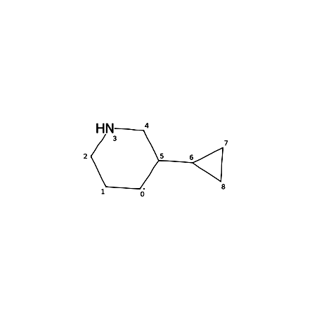 [CH]1CCNCC1C1CC1